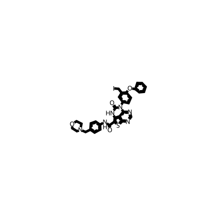 O=C(Nc1ccc(CN2CCOCC2)cc1)c1sc2ncnc3c2c1NC(=O)N3c1ccc(Oc2ccccc2)c(CI)c1